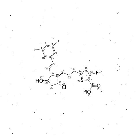 Cc1cc(C)cc(/C=C/[C@@H]2[C@@H](CCCc3cc(F)c(C(=O)O)s3)[C@H](Cl)C[C@H]2O)c1